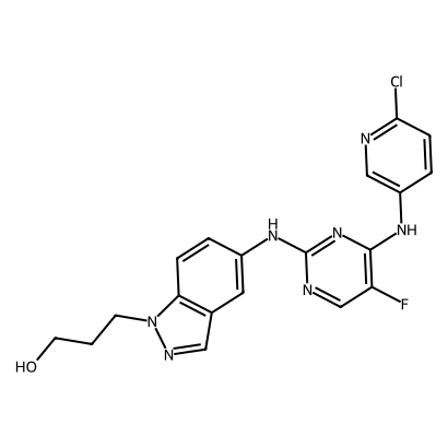 OCCCn1ncc2cc(Nc3ncc(F)c(Nc4ccc(Cl)nc4)n3)ccc21